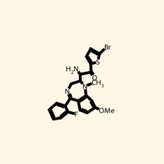 COc1ccc2c(c1)N(C)C(C(N)C(=O)c1ccc(Br)s1)CN=C2c1ccccc1F